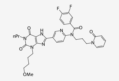 CCCn1c(=O)c2[nH]c(-c3ccc(N(CCCn4ccccc4=O)C(=O)c4ccc(F)c(F)c4)nc3)nc2n(CCCCOC)c1=O